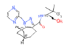 CC(C)([C@@H](CO)NC(=O)c1nn(-c2cnccn2)c2c1CC[C@@H]1C[C@H]21)C(F)(F)F